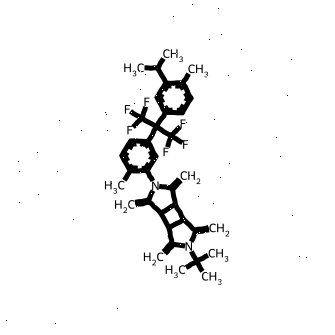 C=C1C2C(C(=C)N1c1cc(C(c3ccc(C)c(C(C)C)c3)(C(F)(F)F)C(F)(F)F)ccc1C)C1C(=C)N(C(C)(C)C)C(=C)C21